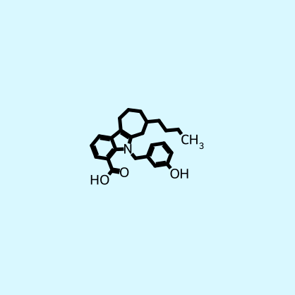 CCCCC1CCCc2c(n(Cc3cccc(O)c3)c3c(C(=O)O)cccc23)C1